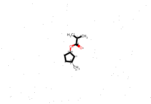 CC(C)C(=O)O[C@@H]1CC[C@@H](C)C1